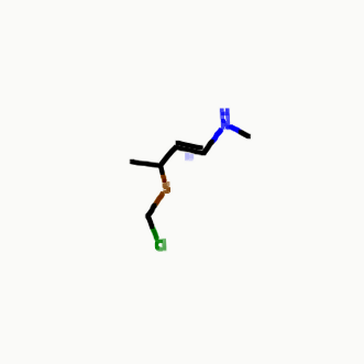 CN/C=C/C(C)SCCl